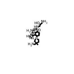 CC1(CN)CCN(c2ccc(S(=O)(=O)NC[C@H](O)CN)c(S(N)(=O)=O)c2-c2nn[nH]n2)CC1